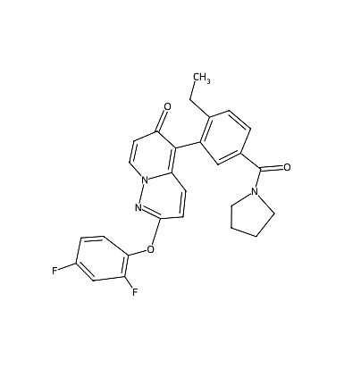 CCc1ccc(C(=O)N2CCCC2)cc1-c1c(=O)ccn2nc(Oc3ccc(F)cc3F)ccc12